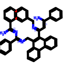 N/C(=C\C(=N/Cc1ccccc1)c1c(C/N=C(\N=C(/N)c2ccccc2)c2ccccc2)c2ccccc2c2ccccc12)c1ccccc1